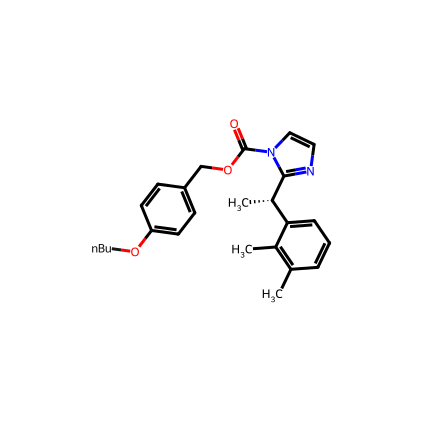 CCCCOc1ccc(COC(=O)n2ccnc2[C@@H](C)c2cccc(C)c2C)cc1